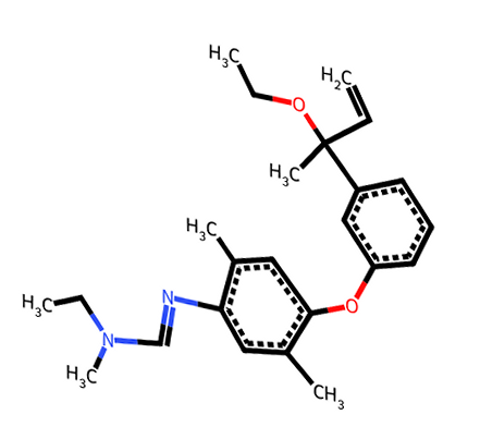 C=CC(C)(OCC)c1cccc(Oc2cc(C)c(N=CN(C)CC)cc2C)c1